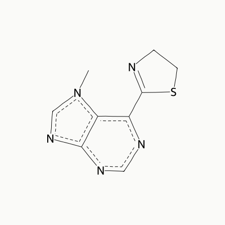 Cn1cnc2ncnc(C3=NCCS3)c21